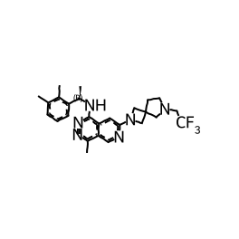 Cc1cccc([C@@H](C)Nc2nnc(C)c3cnc(N4CC5(CCN(CC(F)(F)F)C5)C4)cc23)c1C